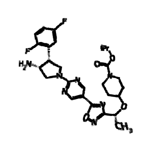 CC(C)OC(=O)N1CCC(O[C@H](C)c2noc(-c3cnc(N4C[C@H](N)[C@H](c5cc(F)ccc5F)C4)nc3)n2)CC1